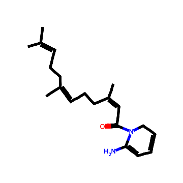 CC(C)=CCCC(C)=CCCC(C)=CC(=O)N1CC=CC=C1N